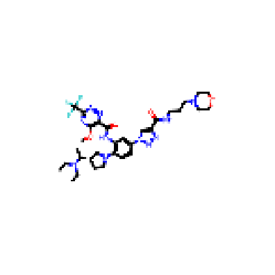 CCN(CC)C(C)[C@@H]1CCN(c2ccc(-n3cc(C(=O)NCCCN4CCOCC4)nn3)cc2NC(=O)c2nnc(C(F)(F)F)nc2OC)C1